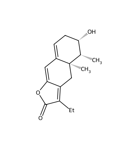 CCC1=C2C[C@@]3(C)C(=CC[C@H](O)[C@@H]3C)C=C2OC1=O